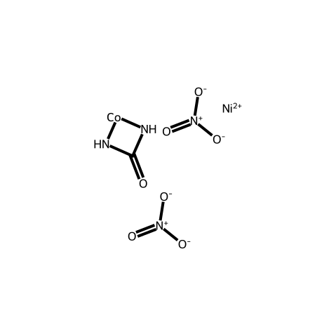 O=C1[NH][Co][NH]1.O=[N+]([O-])[O-].O=[N+]([O-])[O-].[Ni+2]